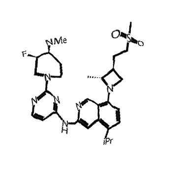 CN[C@H]1CCN(c2nccc(Nc3cc4c(C(C)C)ccc(N5C[C@H](CCS(C)(=O)=O)[C@H]5C)c4cn3)n2)C[C@H]1F